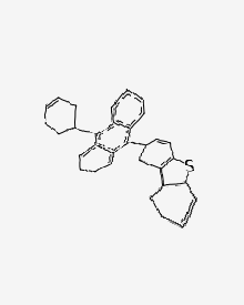 C1=CCC(c2c3c(c(C4C=CC5=C(C4)C4CCC=CC4S5)c4ccccc24)=CCCC=3)CC1